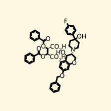 O=C(O[C@H](C(=O)O)[C@H](OC(=O)c1ccccc1)C(=O)O)c1ccccc1.O[C@H]1c2ccc(OCc3ccccc3)cc2OC[C@H]1N1CCC(O)(c2ccc(F)cc2)CC1